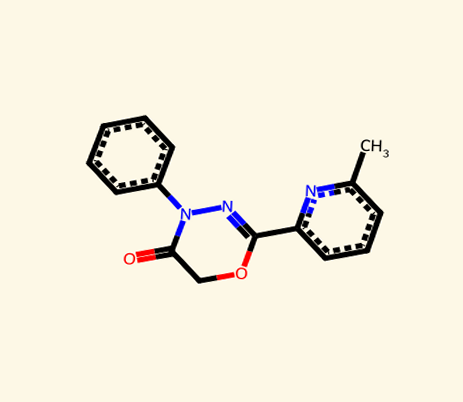 Cc1cccc(C2=NN(c3ccccc3)C(=O)CO2)n1